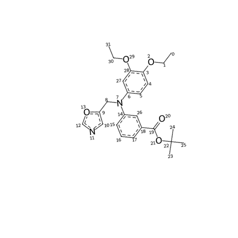 CCOc1ccc(N(Cc2cnco2)c2cccc(C(=O)OC(C)(C)C)c2)cc1OCC